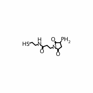 O=C(CCN1C(=O)CC(P)C1=O)NCCS